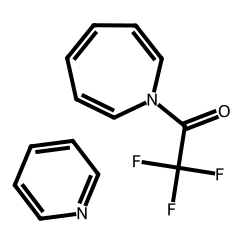 O=C(N1C=CC=CC=C1)C(F)(F)F.c1ccncc1